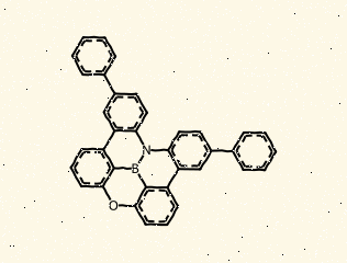 c1ccc(-c2ccc3c(c2)-c2cccc4c2B2c5c(cccc5-c5cc(-c6ccccc6)ccc5N23)O4)cc1